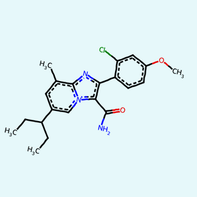 CCC(CC)c1cc(C)c2nc(-c3ccc(OC)cc3Cl)c(C(N)=O)n2c1